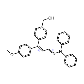 COc1ccc(/C(=C/C=N/N(c2ccccc2)c2ccccc2)c2ccc(CO)cc2)cc1